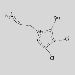 C=CCn1cc(Cl)c(Cl)c1O